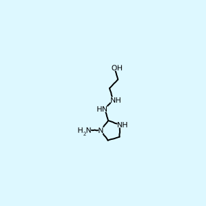 NN1CCNC1NNCCO